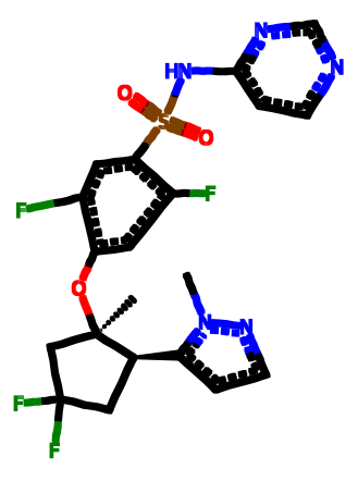 Cn1nccc1[C@H]1CC(F)(F)C[C@@]1(C)Oc1cc(F)c(S(=O)(=O)Nc2ccncn2)cc1F